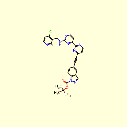 CC(C)(C)OC(=O)n1ncc2cc(C#Cc3ccnc(-c4ccnc(NCc5c(Cl)ccnc5F)n4)n3)ccc21